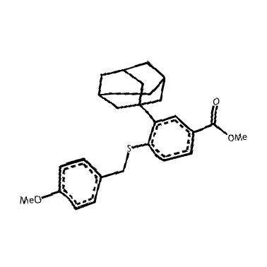 COC(=O)c1ccc(SCc2ccc(OC)cc2)c(C23CC4CC(CC(C4)C2)C3)c1